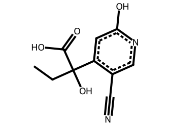 CCC(O)(C(=O)O)c1cc(O)ncc1C#N